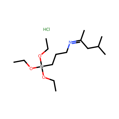 CCO[Si](CCCN=C(C)CC(C)C)(OCC)OCC.Cl